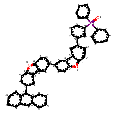 O=P(c1ccccc1)(c1ccccc1)c1cccc(-c2ccc3oc4ccc(-c5ccc6oc7ccc(-c8c9ccccc9cc9ccccc89)cc7c6c5)cc4c3c2)c1